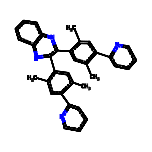 Cc1cc(-c2nc3ccccc3nc2-c2cc(C)c(-c3ccccn3)cc2C)c(C)cc1-c1ccccn1